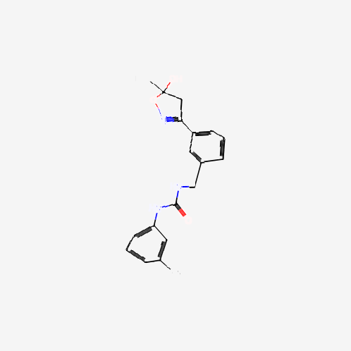 N#Cc1cccc(NC(=O)NCc2cccc(C3=NOC(O)(C(F)(F)F)C3)c2)c1